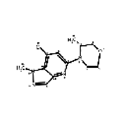 C[C@@H]1COCCN1c1cc(Cl)c2c(cnn2C)n1